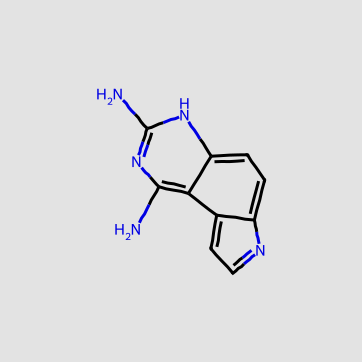 Nc1nc(N)c2c(ccc3nccc32)[nH]1